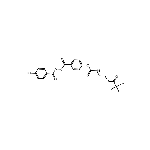 CCC(C)(C)C(=O)OCCNC(=O)Oc1ccc(C(=O)SSC(=O)c2ccc(O)cc2)cc1